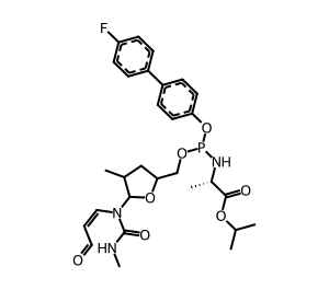 CNC(=O)N(/C=C\C=O)C1OC(COP(N[C@@H](C)C(=O)OC(C)C)Oc2ccc(-c3ccc(F)cc3)cc2)CC1C